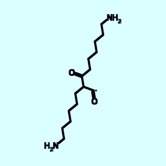 NCCCCCCC(=O)C([C]=O)CCCCCCN